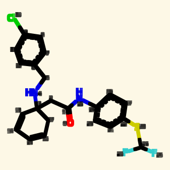 O=C(CC1(NCc2ccc(Cl)cc2)C=CC=CC1)Nc1ccc(SC(F)F)cc1